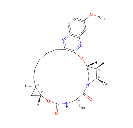 CC(=O)[C@@H]1[C@H](C)[C@@H]2CN1C(=O)[C@H](C(C)(C)C)NC(=O)O[C@@H]1C[C@H]1CCCCCc1nc3ccc(OC(F)(F)F)cc3nc1O2